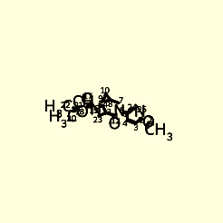 COc1ccc(N(CC2CC2)C(=O)C2CN(C(=O)OC(C)(C)C)C2)cn1